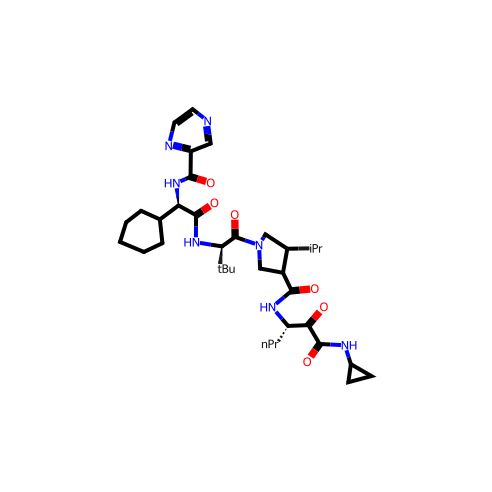 CCC[C@H](NC(=O)C1CN(C(=O)[C@H](NC(=O)[C@H](NC(=O)c2cnccn2)C2CCCCC2)C(C)(C)C)CC1C(C)C)C(=O)C(=O)NC1CC1